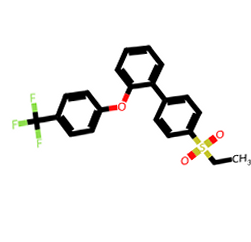 CCS(=O)(=O)c1ccc(-c2ccccc2Oc2ccc(C(F)(F)F)cc2)cc1